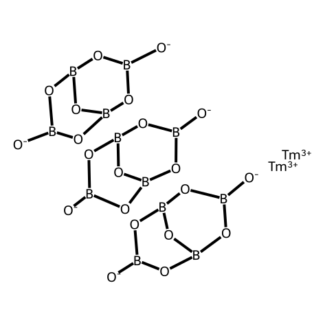 [O-]B1OB2OB([O-])OB(O1)O2.[O-]B1OB2OB([O-])OB(O1)O2.[O-]B1OB2OB([O-])OB(O1)O2.[Tm+3].[Tm+3]